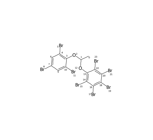 CC(Oc1c(Br)cc(Br)cc1Br)Oc1c(Br)c(Br)c(Br)c(Br)c1Br